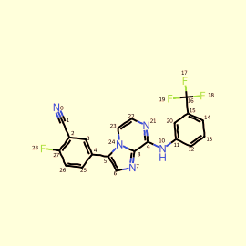 N#Cc1cc(-c2cnc3c(Nc4cccc(C(F)(F)F)c4)nccn23)ccc1F